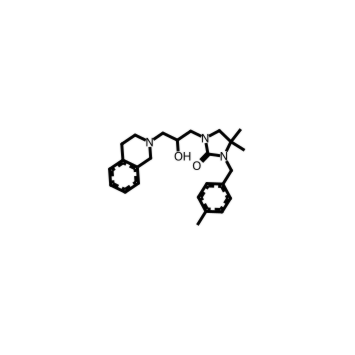 Cc1ccc(CN2C(=O)N(CC(O)CN3CCc4ccccc4C3)CC2(C)C)cc1